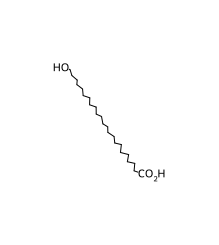 O=C(O)CCCCCCCCCCCCCCCCCCCCCCO